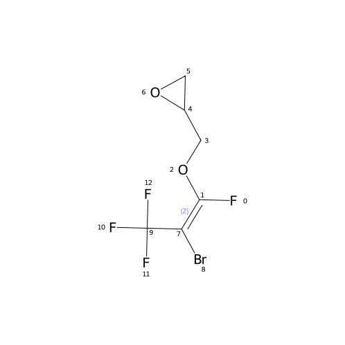 F/C(OCC1CO1)=C(\Br)C(F)(F)F